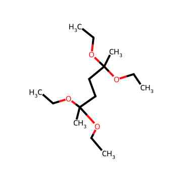 CCOC(C)(CCC(C)(OCC)OCC)OCC